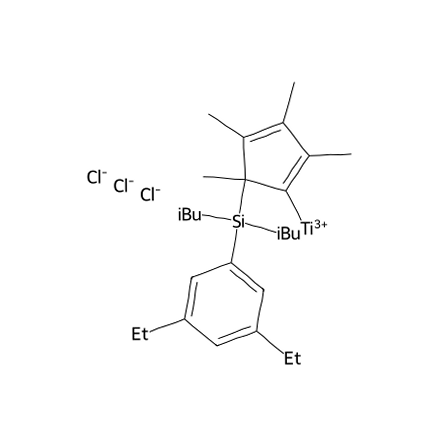 CCc1cc(CC)cc([Si](C(C)CC)(C(C)CC)C2(C)C(C)=C(C)C(C)=[C]2[Ti+3])c1.[Cl-].[Cl-].[Cl-]